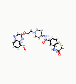 COc1cccc2ncc(OCCN3CCC(NC(=O)c4ccc5c(c4)NC(=O)CS5)CC3)nc12